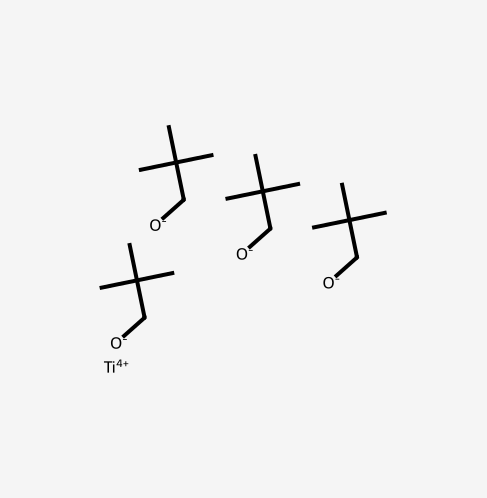 CC(C)(C)C[O-].CC(C)(C)C[O-].CC(C)(C)C[O-].CC(C)(C)C[O-].[Ti+4]